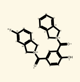 O=C(c1ccc(O)c(C(=O)N2Cc3ccccc3C2)c1)N1Cc2ccc(F)cc2C1